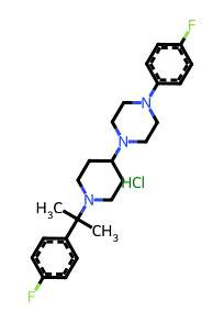 CC(C)(c1ccc(F)cc1)N1CCC(N2CCN(c3ccc(F)cc3)CC2)CC1.Cl